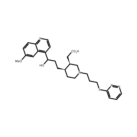 COc1ccc2nccc(C(O)CC[C@@H]3CCN(CCCSc4cccnn4)C[C@@H]3CC(=O)O)c2c1